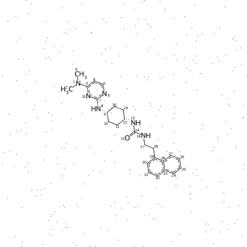 CN(C)c1ccnc(N[C@H]2CC[C@@H](NC(=O)NCCc3cccc4ccccc34)CC2)n1